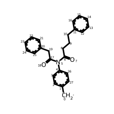 [CH2]c1ccc(N(C(=O)CCCc2ccccc2)C(=O)Cc2ccccc2)cc1